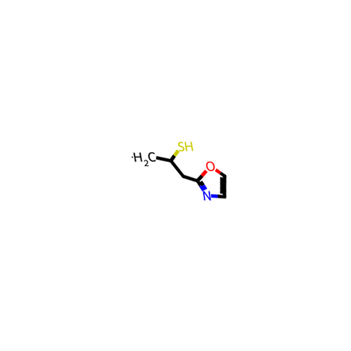 [CH2]C(S)Cc1ncco1